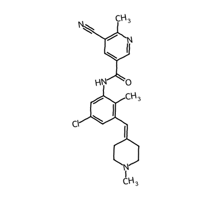 Cc1ncc(C(=O)Nc2cc(Cl)cc(C=C3CCN(C)CC3)c2C)cc1C#N